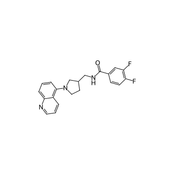 O=C(NCC1CCN(c2cccc3ncccc23)C1)c1ccc(F)c(F)c1